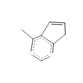 Clc1ncnc2c1C=CC2